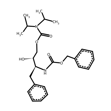 CC(C)N(C(=O)OC[C@@H](O)[C@H](Cc1ccccc1)NC(=O)OCc1ccccc1)C(C)C